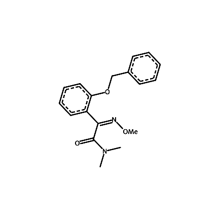 CON=C(C(=O)N(C)C)c1ccccc1OCc1ccccc1